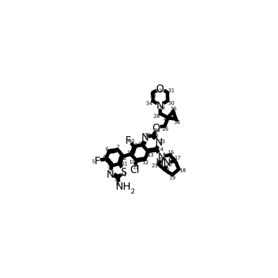 Nc1nc2c(F)ccc(-c3c(Cl)cc4c(N5CC6CCC(C5)N6)nc(OCC5(CN6CCOCC6)CC5)nc4c3F)c2s1